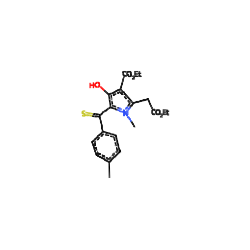 CCOC(=O)Cc1c(C(=O)OCC)c(O)c(C(=S)c2ccc(C)cc2)n1C